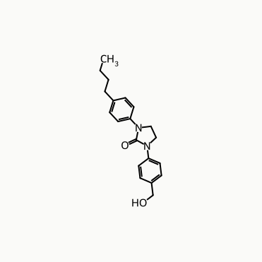 CCCCc1ccc(N2CCN(c3ccc(CO)cc3)C2=O)cc1